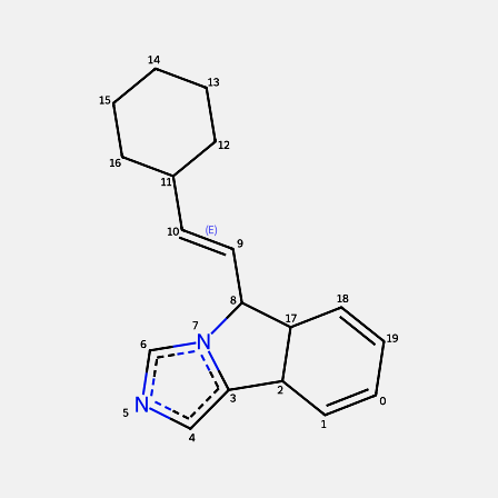 C1=CC2c3cncn3C(/C=C/C3CCCCC3)C2C=C1